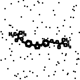 C=C(C)C(=O)OCOc1ccc(-c2ccc(-c3ccc(COC(=O)C(=C)C)cc3)s2)cc1